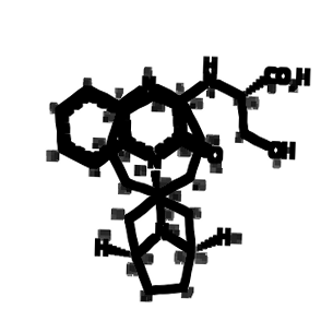 O=C(O)[C@H](CO)Nc1nc2ccccc2n([C@@H]2C[C@H]3CC[C@@H](C2)N3C2CCCCCCC2)c1=O